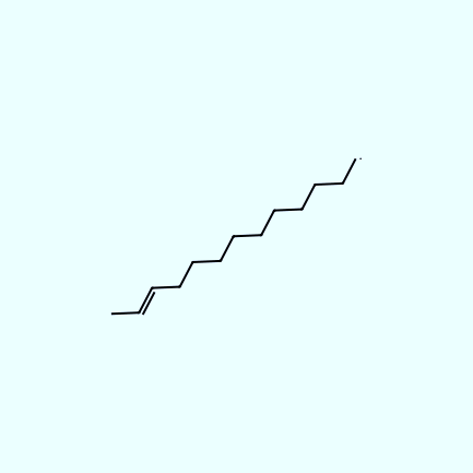 [CH2]CCCCCCCCCC=CC